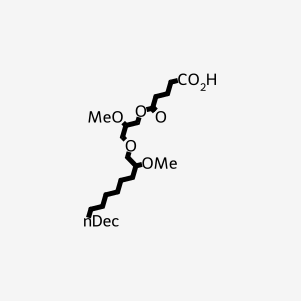 CCCCCCCCCCCCCCCCC(COCC(COC(=O)CCCC(=O)O)OC)OC